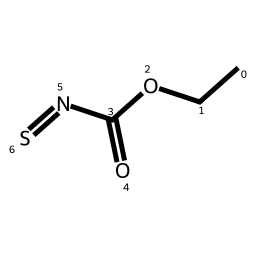 CCOC(=O)N=S